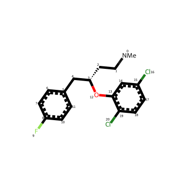 CNCC[C@@H](Cc1ccc(F)cc1)Oc1cc(Cl)ccc1Cl